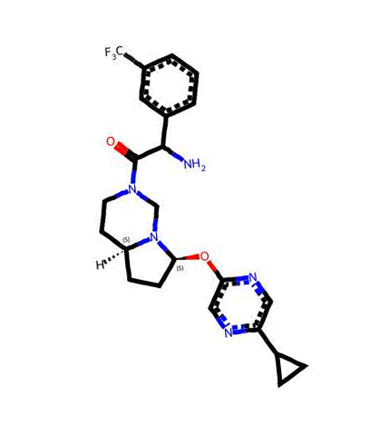 NC(C(=O)N1CC[C@@H]2CC[C@H](Oc3cnc(C4CC4)cn3)N2C1)c1cccc(C(F)(F)F)c1